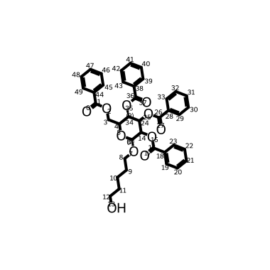 O=C(OCC1O[C@H](OCCCCCO)C(OC(=O)c2ccccc2)C(OC(=O)c2ccccc2)[C@@H]1OC(=O)c1ccccc1)c1ccccc1